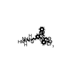 N=C(N)NCCNC(=O)CCc1ccc2c(c1)C(=O)N(C(CC(=O)OC(=O)C(F)(F)F)c1ccccc1)CC(=O)N2Cc1ccccc1